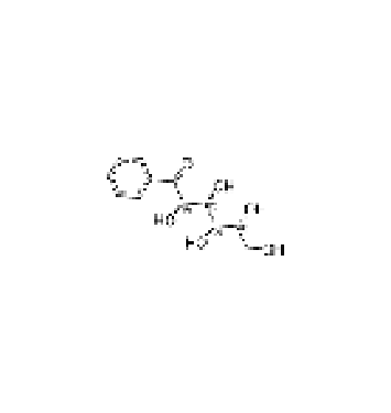 O=C(c1ccccc1)[C@H](O)[C@@H](O)[C@H](O)[C@H](O)CO